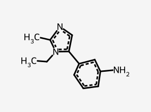 CCn1c(-c2cccc(N)c2)cnc1C